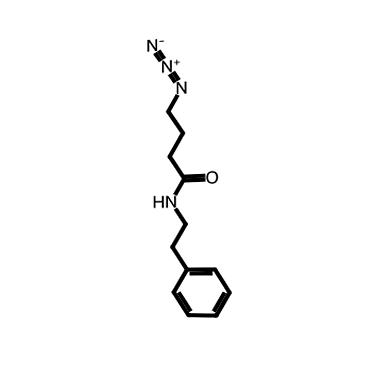 [N-]=[N+]=NCCCC(=O)NCCc1ccccc1